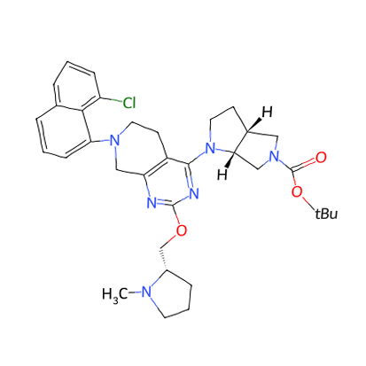 CN1CCC[C@H]1COc1nc2c(c(N3CC[C@@H]4CN(C(=O)OC(C)(C)C)C[C@@H]43)n1)CCN(c1cccc3cccc(Cl)c13)C2